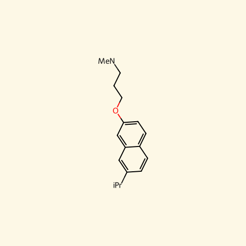 CNCCCOc1ccc2ccc(C(C)C)cc2c1